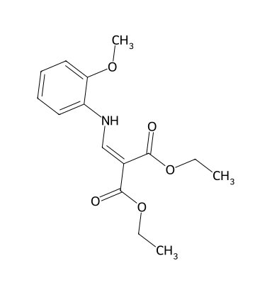 CCOC(=O)C(=CNc1ccccc1OC)C(=O)OCC